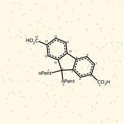 CCCCCC1(CCCCC)c2cc(C(=O)O)ccc2-c2ccc(C(=O)O)cc21